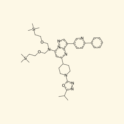 CC(C)c1nnc(N2CCC(c3cc(N(COCC[Si](C)(C)C)COCC[Si](C)(C)C)n4ncc(-c5ccc(-c6ccccc6)nc5)c4n3)CC2)o1